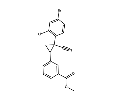 COC(=O)c1cccc(C2CC2(C#N)c2ccc(Br)cc2Cl)c1